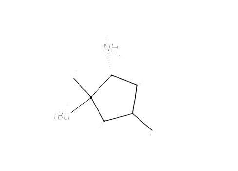 CC1C[C@@H](N)C(C)(C(C)(C)C)C1